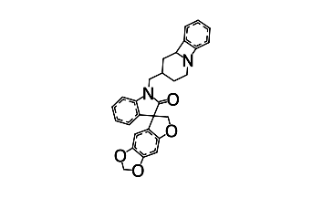 O=C1N(CC2CCN3c4ccccc4C3C2)c2ccccc2C12COc1cc3c(cc12)OCO3